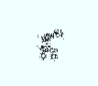 [2H]c1cc(C2OC(COC(=O)c3ccccc3)C(OC(=O)c3ccccc3)C2C)n2nc(/N=C/N(C)C)ncc12